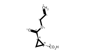 C=CCOC(=O)[C@@H]1C[C@H]1C(=O)O